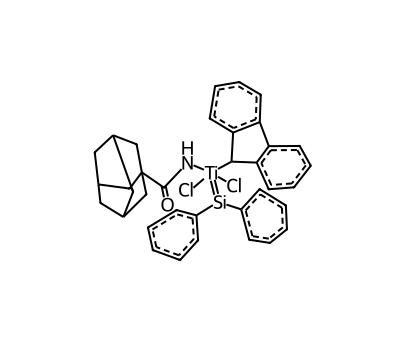 O=C([NH][Ti]([Cl])([Cl])([CH]1c2ccccc2-c2ccccc21)=[Si](c1ccccc1)c1ccccc1)C12CC3CC(CC(C3)C1)C2